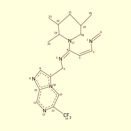 C=N/C=C\C(=N/Cc1cnc2cnc(C(F)(F)F)cn12)N1CC(C)CC(C)C1C